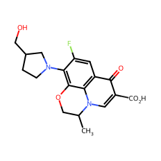 CC1COc2c(N3CCC(CO)C3)c(F)cc3c(=O)c(C(=O)O)cn1c23